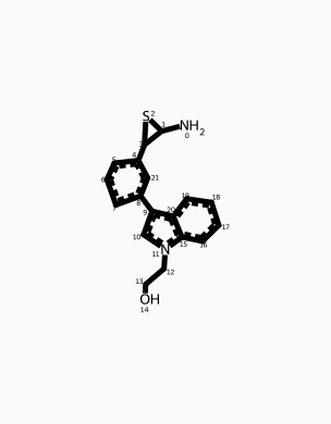 NC1SC1c1cccc(-c2cn(CCO)c3ccccc23)c1